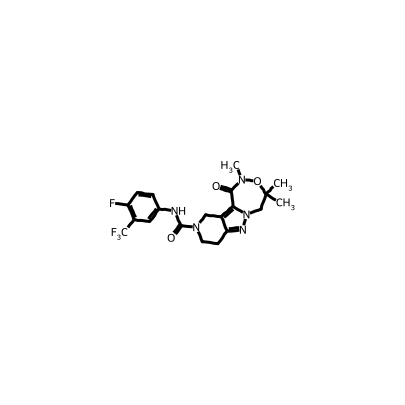 CN1OC(C)(C)Cn2nc3c(c2C1=O)CN(C(=O)Nc1ccc(F)c(C(F)(F)F)c1)CC3